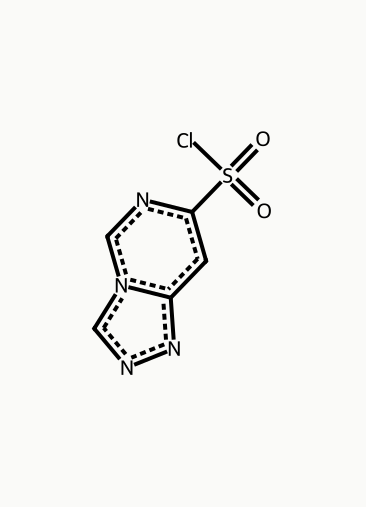 O=S(=O)(Cl)c1cc2nncn2cn1